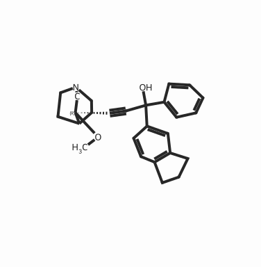 CO[C@]1(C#CC(O)(c2ccccc2)c2ccc3c(c2)CCC3)CN2CCC1CC2